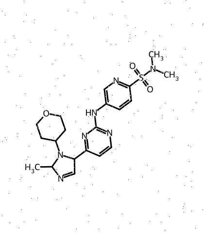 CC1N=CC(c2ccnc(Nc3ccc(S(=O)(=O)N(C)C)nc3)n2)N1C1CCOCC1